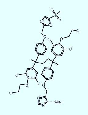 CC(CCC(C)(c1ccc(OCc2ocnc2C#N)cc1)c1cc(Cl)c(OCCCl)c(Cl)c1)(c1ccc(OCc2ncc(S(C)(=O)=O)o2)cc1)c1cc(Cl)c(OCCCl)c(Cl)c1